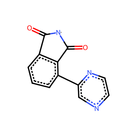 O=C1[N]C(=O)c2c1cccc2-c1cnccn1